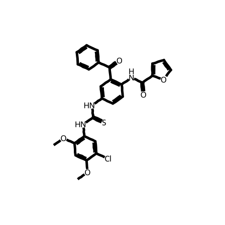 COc1cc(OC)c(NC(=S)Nc2ccc(NC(=O)c3ccco3)c(C(=O)c3ccccc3)c2)cc1Cl